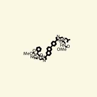 C=C(C)CN(Cc1ncc(-c2ccc(-c3ccc4cc(-c5cnc(CN(CC#N)C(=O)[C@H](NC(=O)OC)c6ccccc6)[nH]5)ccc4c3)cc2)[nH]1)C(=O)CNC(=O)OC